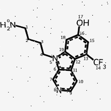 NCCCCn1c2cnccc2c2c(C(F)(F)F)cc(O)cc21